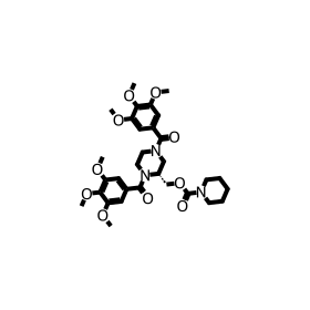 COc1cc(C(=O)N2CCN(C(=O)c3cc(OC)c(OC)c(OC)c3)[C@@H](COC(=O)N3CCCCC3)C2)cc(OC)c1OC